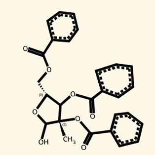 C[C@@]1(OC(=O)c2ccccc2)C(O)O[C@H](COC(=O)c2ccccc2)C1OC(=O)c1ccccc1